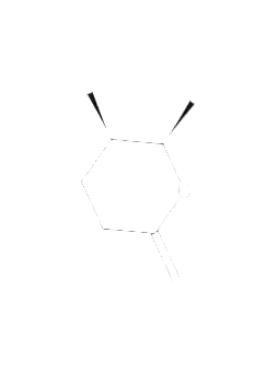 C=C1CC[C@@H](C)[C@@H](C)O1